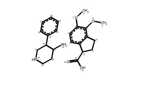 COc1ccc2c(c1OC)CCC2C(=O)O.NC1CCNCC1c1ccccc1